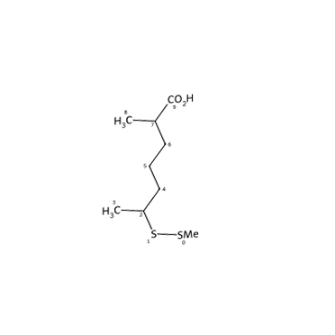 CSSC(C)CCCC(C)C(=O)O